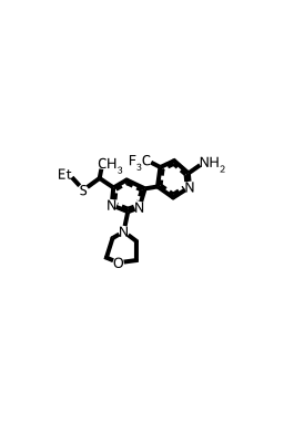 CCSC(C)c1cc(-c2cnc(N)cc2C(F)(F)F)nc(N2CCOCC2)n1